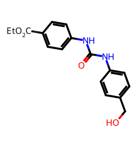 CCOC(=O)c1ccc(NC(=O)Nc2ccc(CO)cc2)cc1